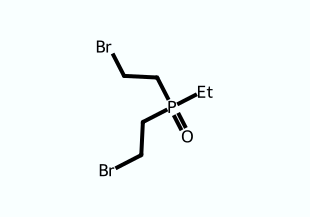 [CH2]CP(=O)(CCBr)CCBr